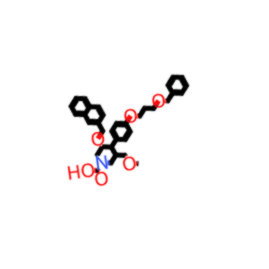 COCC1CN(C(=O)O)CC(OCc2ccc3ccccc3c2)C1c1ccc(OCCCOCc2ccccc2)cc1